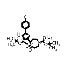 CC(C)(C)OC(=O)C[C@]1(c2ccc(-c3ccc(Cl)cc3)s2)CCN(C(=O)OC(C)(C)C)CCS1(=O)=O